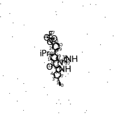 C#Cc1ccc2c(c1)[nH]c1c2c(=O)c2cc(C(C)C)c(-c3cccc(OS(=O)(=O)F)c3)cc2n1C1CNC1